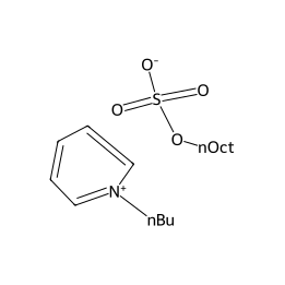 CCCCCCCCOS(=O)(=O)[O-].CCCC[n+]1ccccc1